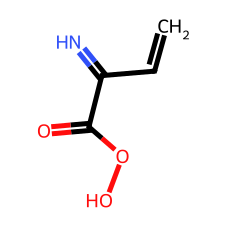 C=CC(=N)C(=O)OO